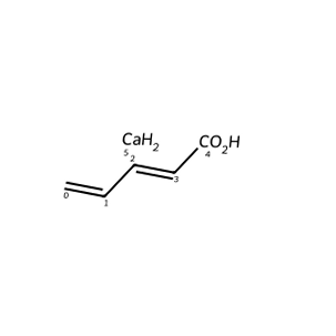 C=CC=CC(=O)O.[CaH2]